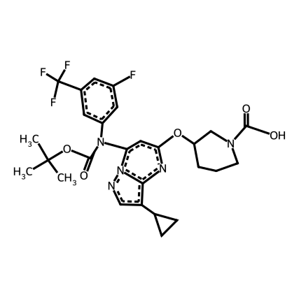 CC(C)(C)OC(=O)N(c1cc(F)cc(C(F)(F)F)c1)c1cc(OC2CCCN(C(=O)O)C2)nc2c(C3CC3)cnn12